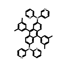 Cc1cc(C)cc(-c2c3ccc(N(c4cccnc4)c4ccccn4)cc3c(-c3cc(C)cc(C)c3)c3ccc(N(c4cccnc4)c4ccccn4)cc23)c1